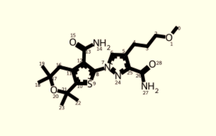 COCCCc1cn(-c2sc3c(c2C(N)=O)CC(C)(C)OC3(C)C)nc1C(N)=O